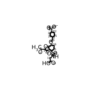 CC(=O)c1cc2c(S(=O)(=O)NCC(=O)O)ccc(OCc3ccc([N+](=O)[O-])cc3)c2o1